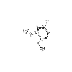 C=Cc1cc(F)ccc1CO